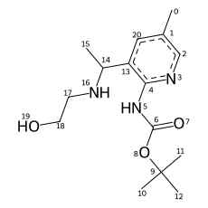 Cc1cnc(NC(=O)OC(C)(C)C)c(C(C)NCCO)c1